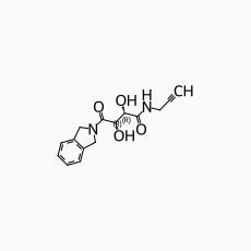 C#CCNC(=O)[C@H](O)[C@@H](O)C(=O)N1Cc2ccccc2C1